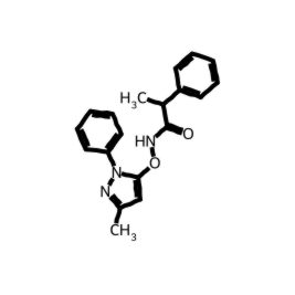 Cc1cc(ONC(=O)C(C)c2ccccc2)n(-c2ccccc2)n1